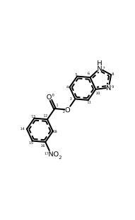 O=C(Oc1ccc2[nH]cnc2c1)c1cccc([N+](=O)[O-])c1